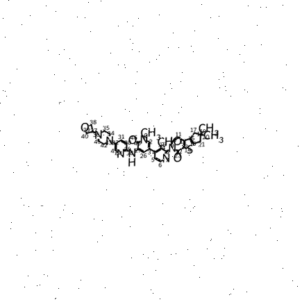 Cn1cc(-c2ccnc(N3CCc4c(sc5c4CC(C)(C)C5)C3=O)c2C=O)cc(Nc2ccc(N3CCN(C4COC4)CC3)cn2)c1=O